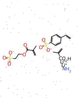 C=C(C)C(=O)O.C=C(C)C(=O)OCCS(=O)(=O)[O-].C=Cc1ccc(S(=O)(=O)[O-])cc1.N.[Li+].[Li+]